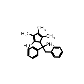 CC1=C(C)C(C(P)(Cc2ccccc2)c2ccccc2)C(C)=C1C